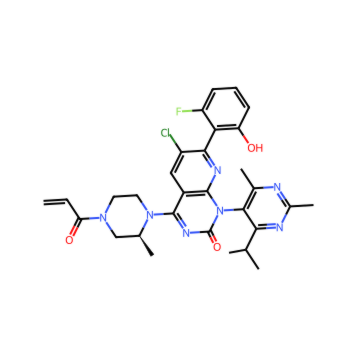 C=CC(=O)N1CCN(c2nc(=O)n(-c3c(C)nc(C)nc3C(C)C)c3nc(-c4c(O)cccc4F)c(Cl)cc23)[C@@H](C)C1